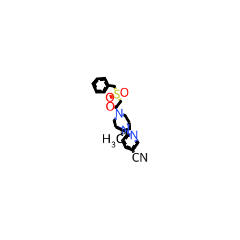 C[C@H]1CC2CN(C(=O)CS(=O)(=O)Cc3ccccc3)CC1N2c1ccc(C#N)cn1